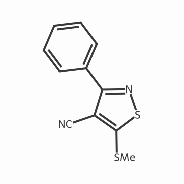 CSc1snc(-c2ccccc2)c1C#N